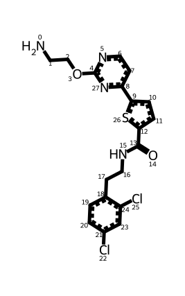 NCCOc1nccc(-c2ccc(C(=O)NCCc3ccc(Cl)cc3Cl)s2)n1